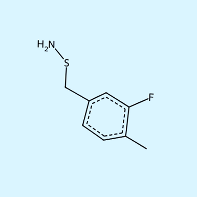 Cc1ccc(CSN)cc1F